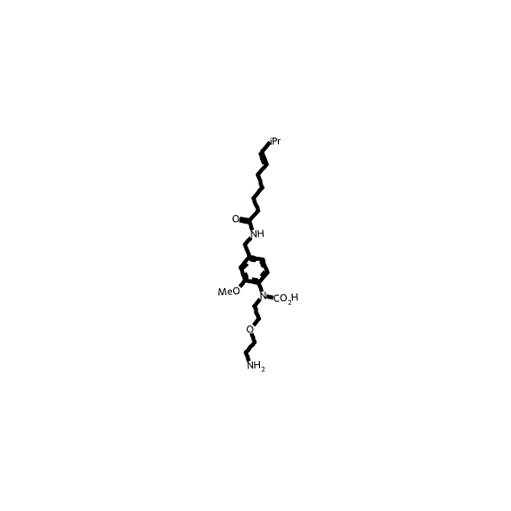 COc1cc(CNC(=O)CCCC/C=C/C(C)C)ccc1N(CCOCCN)C(=O)O